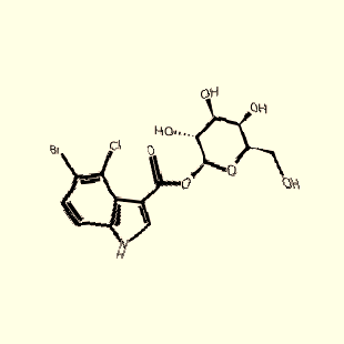 O=C(O[C@@H]1O[C@H](CO)[C@H](O)[C@H](O)[C@H]1O)c1c[nH]c2ccc(Br)c(Cl)c12